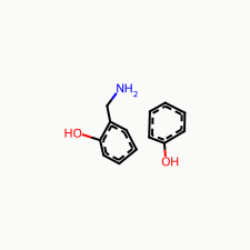 NCc1ccccc1O.Oc1ccccc1